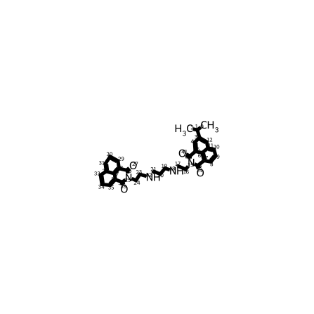 CC(C)c1cc2c3c(cccc3c1)C(=O)N(CCNCCCNCCN1C(=O)c3cccc4cccc(c34)C1=O)C2=O